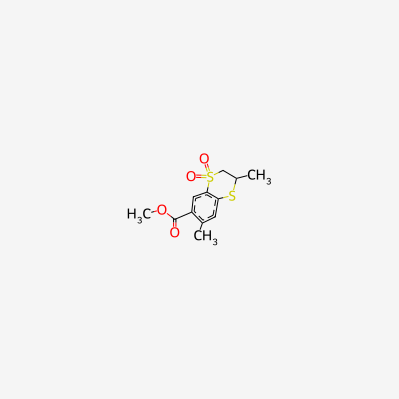 COC(=O)c1cc2c(cc1C)SC(C)CS2(=O)=O